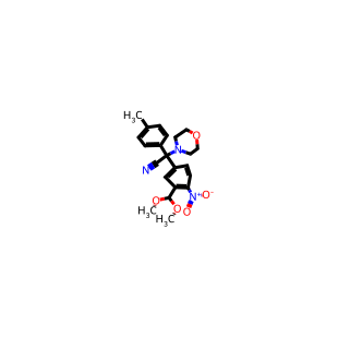 COC(OC)c1cc(C(C#N)(c2ccc(C)cc2)N2CCOCC2)ccc1[N+](=O)[O-]